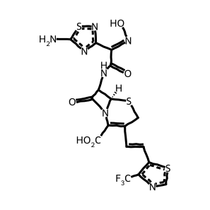 Nc1nc(/C(=N\O)C(=O)NC2C(=O)N3C(C(=O)O)=C(/C=C/c4scnc4C(F)(F)F)CS[C@H]23)ns1